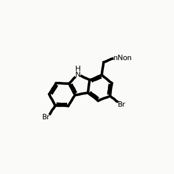 CCCCCCCCCCc1cc(Br)cc2c1[nH]c1ccc(Br)cc12